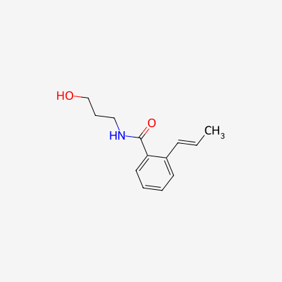 CC=Cc1ccccc1C(=O)NCCCO